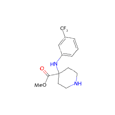 COC(=O)C1(Nc2cccc(C(F)(F)F)c2)CCNCC1